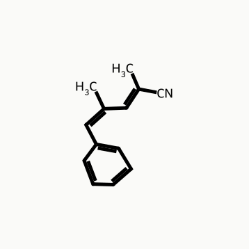 CC(C#N)=CC(C)=Cc1ccccc1